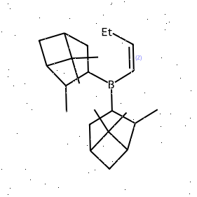 CC/C=C\B(C1CC2CC(C1C)C2(C)C)C1CC2CC(C1C)C2(C)C